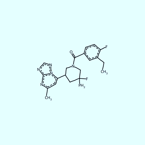 CCc1cc(C(=O)N2CC(c3cc(C)nc4ncnn34)CC(F)(P)C2)ccc1F